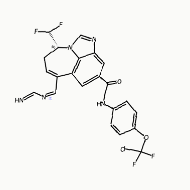 N=C/N=C\C1=CC[C@H](C(F)F)n2cnc3cc(C(=O)Nc4ccc(OC(F)(F)Cl)cc4)cc1c32